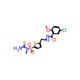 COc1ccc(Cl)cc1C(=O)NCCc1ccc(S(=O)(=O)N(C)C(N)=S)s1